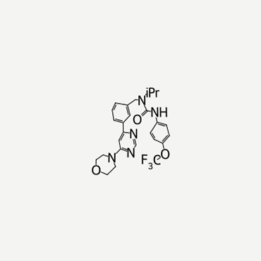 CC(C)N(Cc1cccc(-c2cc(N3CCOCC3)ncn2)c1)C(=O)Nc1ccc(OC(F)(F)F)cc1